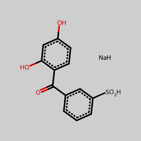 O=C(c1cccc(S(=O)(=O)O)c1)c1ccc(O)cc1O.[NaH]